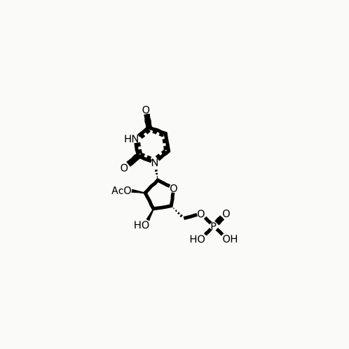 CC(=O)O[C@@H]1[C@H](O)[C@@H](COP(=O)(O)O)O[C@H]1n1ccc(=O)[nH]c1=O